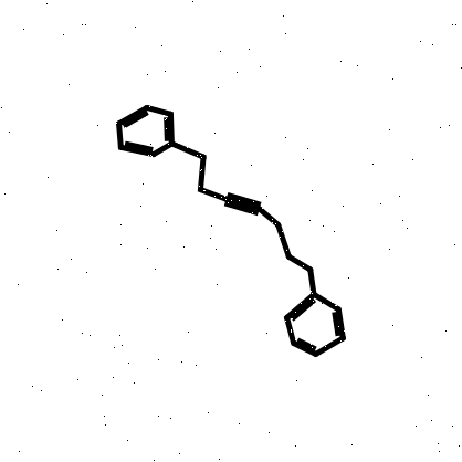 C(#CCCc1ccccc1)CCCc1ccccc1